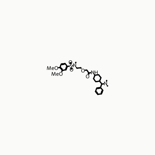 COc1ccc(S(=O)(=O)N(C)CCOCC(=O)NC2CCC(C(c3ccccc3)N(C)C)CC2)cc1OC